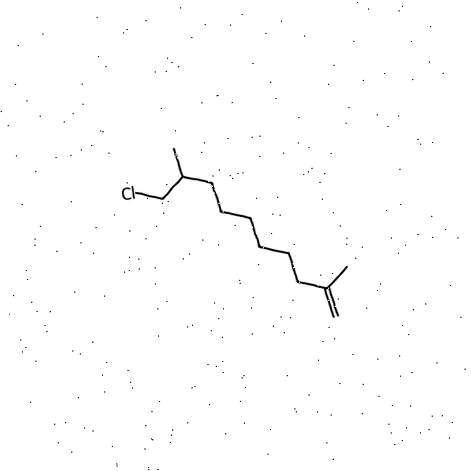 C=C(C)CCCCCCC(C)CCl